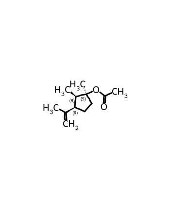 C=C(C)[C@@H]1CC[C@](C)(OC(C)=O)[C@@H]1C